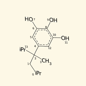 CC(C)CC(C)(c1cc(O)c(O)c(O)c1)C(C)C